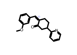 COc1cccc(/C=C2/CCC(c3ccccn3)CC2=O)c1